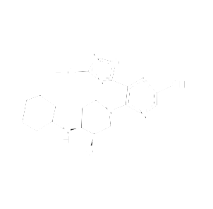 Cc1cnc(N2CC[C@H](NC3CCCCC3)[C@H](O)C2)c(-c2nc(C)no2)c1